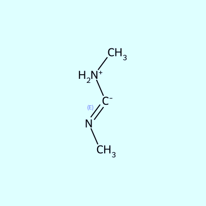 C/N=[C-]/[NH2+]C